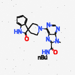 CCCCNC(=O)c1nc2c(N3CCC4(CC3)C(=O)Nc3ccccc34)ncnc2n1C